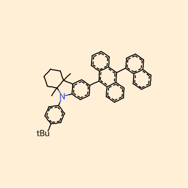 CC(C)(C)c1ccc(N2c3ccc(-c4c5ccccc5c(-c5cccc6ccccc56)c5ccccc45)cc3C3(C)CCCCC23C)cc1